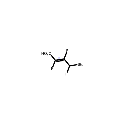 CC(C)(C)C(F)/C(F)=C(\F)C(=O)O